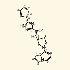 O=C(NC1CCN(c2nccn3cccc23)C1)c1n[nH]c(-c2ccccc2)n1